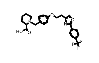 O=C(O)C1CCCCN1Cc1ccc(OCCc2coc(-c3ccc(C(F)(F)F)cc3)n2)cc1